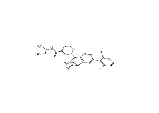 CC(CO)NC(=O)N1CCOC(C23CCC(c4cc(-c5c(F)cccc5F)nnc42)C3(C)C)C1